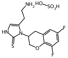 NCCc1c[nH]c(=S)n1C1COc2c(F)cc(F)cc2C1.O=S(=O)(O)O